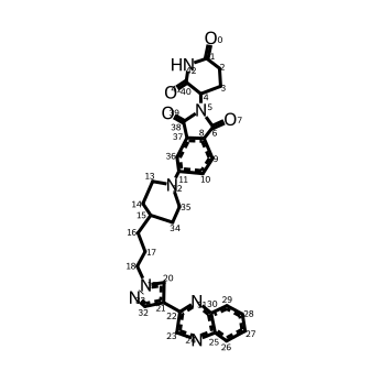 O=C1CCC(N2C(=O)c3ccc(N4CCC(CCCn5cc(-c6cnc7ccccc7n6)cn5)CC4)cc3C2=O)C(=O)N1